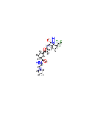 O=C1Nc2c(cccc2C(F)(F)F)/C1=C\c1ccc(-c2cccc(C(=O)NCCN3CCCC3)c2)o1